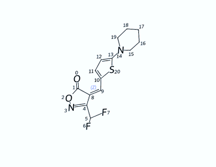 O=C1ON=C(C(F)F)/C1=C/c1ccc(N2CCCCC2)s1